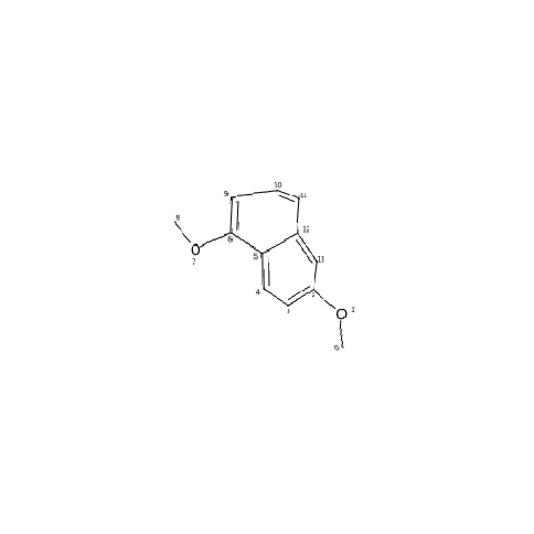 COc1ccc2c(OC)cc[c]c2c1